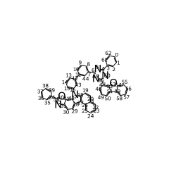 c1ccc(-c2nc(-c3cccc(-c4cccc(-n5c6ccc7ccccc7c6c6ccc7nc(-c8ccccc8)oc7c65)c4)c3)nc(-c3cccc4c3oc3ccccc34)n2)cc1